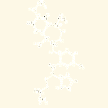 CNCC[C@H](Oc1cc(F)ccc1CN1CCN(C)c2nc(OC)ncc2C1=O)c1cccs1